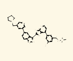 CS(=O)(=O)NCc1cc(F)cc(-c2ccnc3[nH]c(-c4n[nH]c5ccc(-c6cncc(CN7CCCC7)c6)cc45)nc23)c1